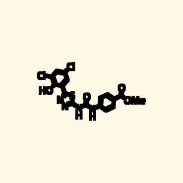 COC(=O)c1ccc(NC(=O)Nc2nnc(-c3cc(Cl)cc(Cl)c3O)s2)cc1